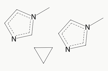 C1CC1.Cn1ccnc1.Cn1ccnc1